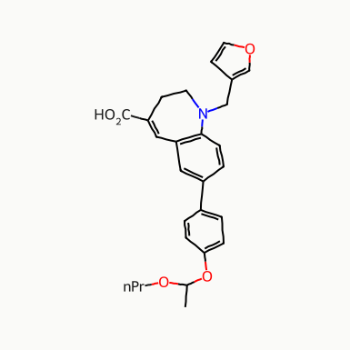 CCCOC(C)Oc1ccc(-c2ccc3c(c2)C=C(C(=O)O)CCN3Cc2ccoc2)cc1